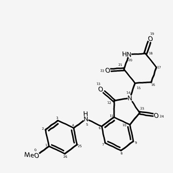 COc1ccc(Nc2cccc3c2C(=O)N(C2CCC(=O)NC2=O)C3=O)cc1